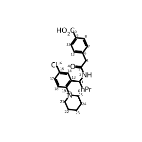 CCCC(NC(=O)Cc1ccc(C(=O)O)cc1)c1cc(Cl)ccc1N1CCCCC1